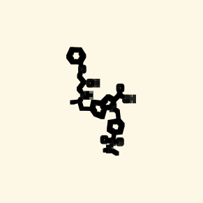 C[C@H](Cc1ccc2c(c1)cc(C(=O)O)n2Cc1ccc(S(=O)(=O)N(C)C)cc1)NC[C@H](O)COc1ccccc1